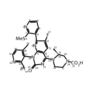 CSc1ncccc1-c1nc2c(cc1F)c(N1CCN(C(=O)O)C[C@@H]1C)nc(=O)n2-c1c(C)ccnc1C(C)C